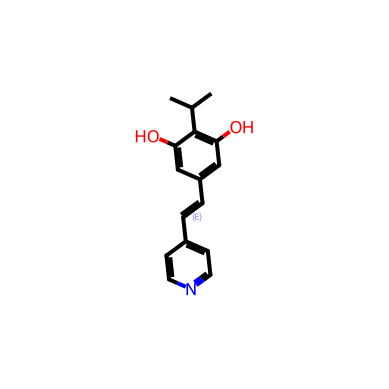 CC(C)c1c(O)cc(/C=C/c2ccncc2)cc1O